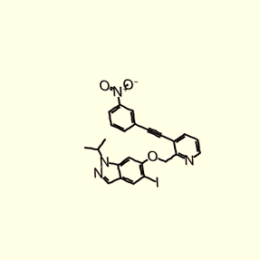 CC(C)n1ncc2cc(I)c(OCc3ncccc3C#Cc3cccc([N+](=O)[O-])c3)cc21